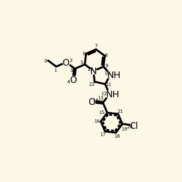 CCOC(=O)C1C=CC=C2NC(NC(=O)c3cccc(Cl)c3)CN21